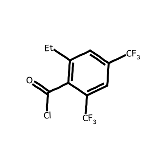 CCc1cc(C(F)(F)F)cc(C(F)(F)F)c1C(=O)Cl